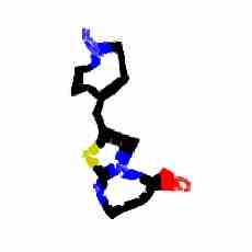 O=c1ccnc2sc(C3=CCNCC3)cn12